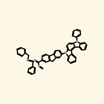 C=N/C(=N\C(=N/Cc1ccccc1)c1ccccc1)c1ccc2c(c1)Cc1cc(-n3c4ccccc4c4c5c6ccccc6n(-c6ccccc6)c5ccc43)ccc1-2